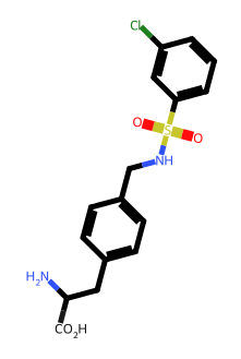 NC(Cc1ccc(CNS(=O)(=O)c2cccc(Cl)c2)cc1)C(=O)O